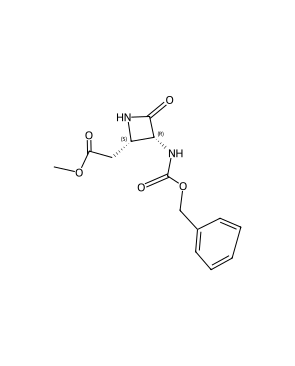 COC(=O)C[C@@H]1NC(=O)[C@@H]1NC(=O)OCc1ccccc1